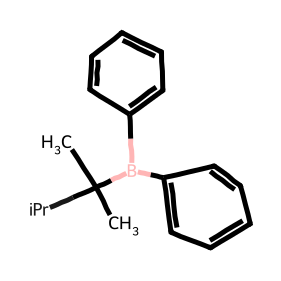 CC(C)C(C)(C)B(c1ccccc1)c1ccccc1